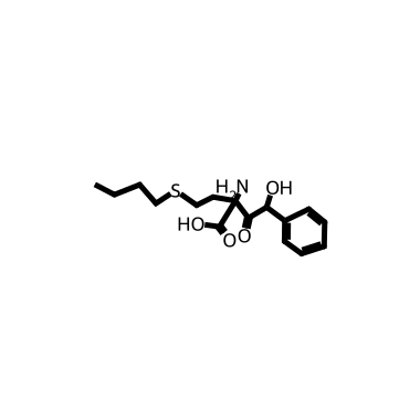 CCCCSCCC(N)(C(=O)O)C(=O)C(O)c1ccccc1